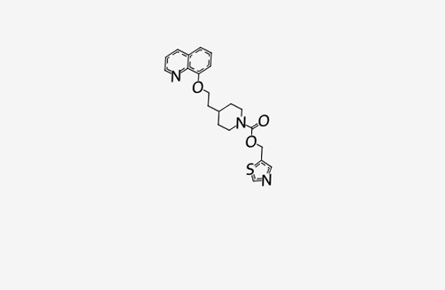 O=C(OCc1cncs1)N1CCC(CCOc2cccc3cccnc23)CC1